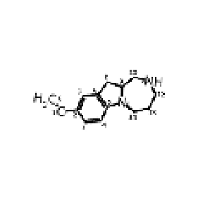 COc1ccc2c(c1)CC1CNCCCN21